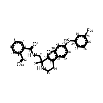 CC1(CNC(=O)c2ccccc2C=O)NCCc2c1oc1cc(Sc3cccc(F)c3)ccc21